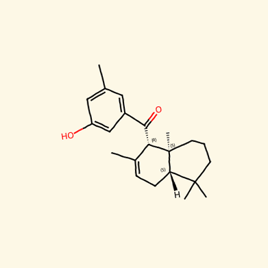 CC1=CC[C@H]2C(C)(C)CCC[C@]2(C)[C@H]1C(=O)c1cc(C)cc(O)c1